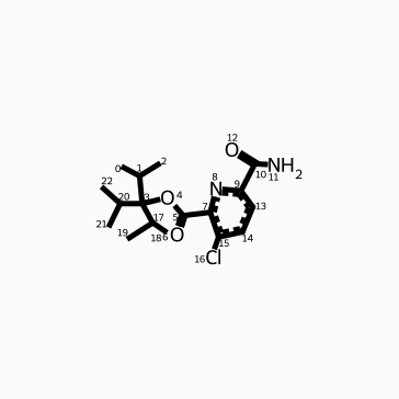 CC(C)C(OC(=O)c1nc(C(N)=O)ccc1Cl)(C(C)C)C(C)C